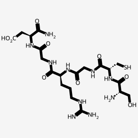 N=C(N)NCCC[C@H](NC(=O)CNC(=O)[C@H](CS)NC(=O)[C@@H](N)CO)C(=O)NCC(=O)N[C@@H](CC(=O)O)C(N)=O